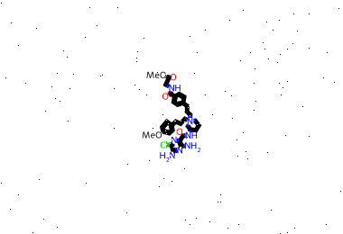 COC(=O)CNC(=O)c1ccc(CCC[N+]2(CCCc3ccc(OC)cc3)CCCC(NC(=O)c3nc(Cl)c(N)nc3N)C2)cc1